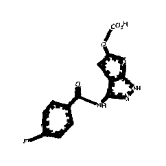 O=C(O)Oc1cc2c(NC(=O)c3ccc(F)cc3)n[nH]c2s1